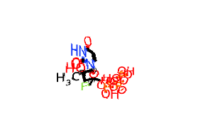 C[C@@]1(O)C[C@@](CF)(COP(=O)(O)OP(=O)(O)OP(=O)(O)O)O[C@H]1n1ccc(=O)[nH]c1=O